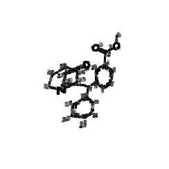 COC(=O)c1cccc(C(c2ccccc2)C2C(=O)C3CCN2CC3)c1